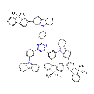 CC1(C)c2ccccc2-c2ccc(-c3ccc4c(c3)N(c3ccc(-c5nc(-c6cccc(-n7c8ccccc8c8ccc(-c9ccc%10c(c9)C(C)(C)c9ccccc9-%10)cc87)c6)nc(-c6cccc(-n7c8ccccc8c8ccc(-c9ccc%10c(c9)C(C)(C)c9ccccc9-%10)cc87)c6)n5)cc3)C3CCCCC43)cc21